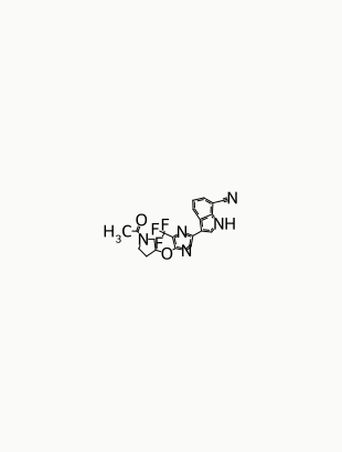 CC(=O)N1CCC(Oc2ncc(-c3c[nH]c4c(C#N)cccc34)nc2C(F)(F)F)C1